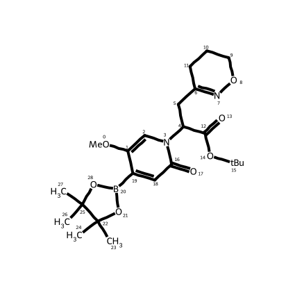 COc1cn(C(CC2=NOCCC2)C(=O)OC(C)(C)C)c(=O)cc1B1OC(C)(C)C(C)(C)O1